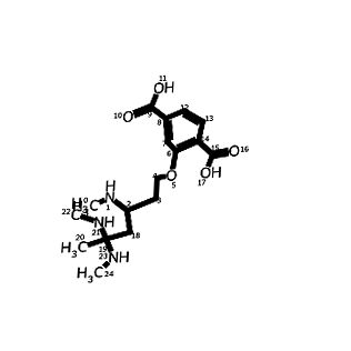 CNC(CCOc1cc(C(=O)O)ccc1C(=O)O)CC(C)(NC)NC